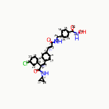 O=C(/C=C/c1ccc(/C=C(/C(=O)NC2CC2)c2cccc(Cl)c2)cc1)NCc1ccc(C(=O)NO)cc1